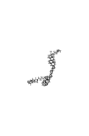 CCCCC/C=C\C/C=C\CCCCCCCCOCC(CN1CCC2(CC1)OCCCO2)OCCOCCO[C@H]1CC[C@@]2(C)C(=CCC3C2CC[C@@]2(C)C3CC[C@@H]2[C@H](C)CCCC(C)C)C1